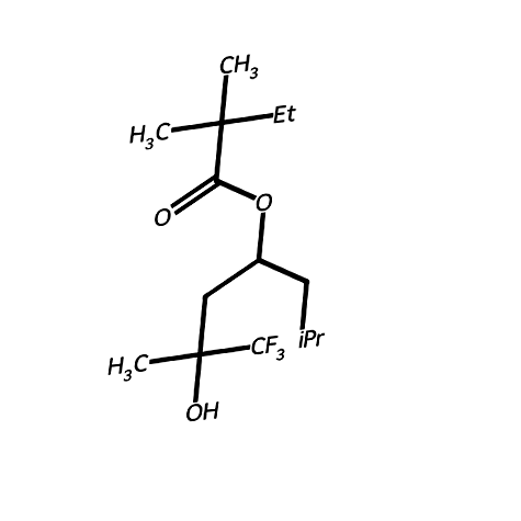 CCC(C)(C)C(=O)OC(CC(C)C)CC(C)(O)C(F)(F)F